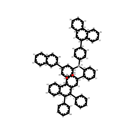 c1ccc(-c2c(-c3ccccc3)c3cc(-c4ccccc4N(c4ccc(-c5cc6ccccc6c6ccccc56)cc4)c4cccc(-c5ccc6ccccc6c5)c4)ccc3c3ccccc23)cc1